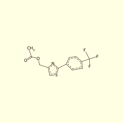 CC(=O)OCc1csc(-c2ccc(C(F)(F)F)cc2)n1